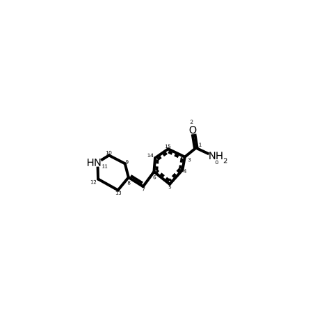 NC(=O)c1ccc(C=C2CCNCC2)cc1